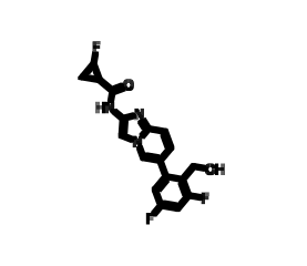 O=C(Nc1cn2cc(-c3cc(F)cc(F)c3CO)ccc2n1)C1CC1F